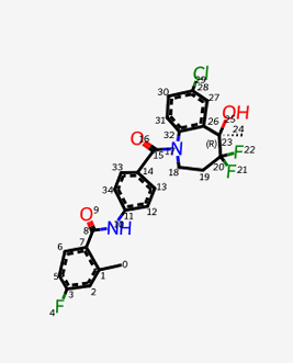 Cc1cc(F)ccc1C(=O)Nc1ccc(C(=O)N2CCC(F)(F)[C@](C)(O)c3cc(Cl)ccc32)cc1